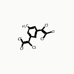 Cc1cc(C(Cl)=C(Cl)Cl)cc(C(Cl)=C(Cl)Cl)c1